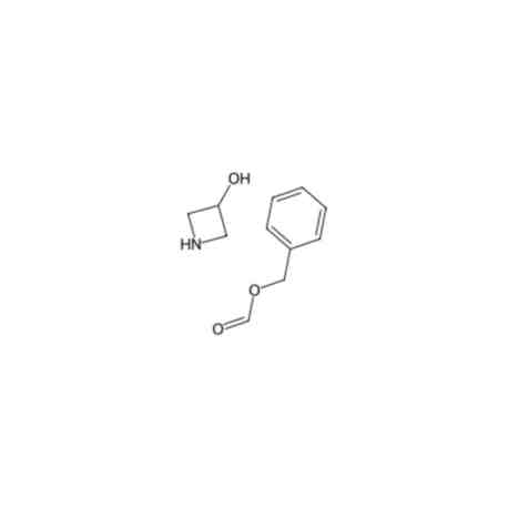 O=COCc1ccccc1.OC1CNC1